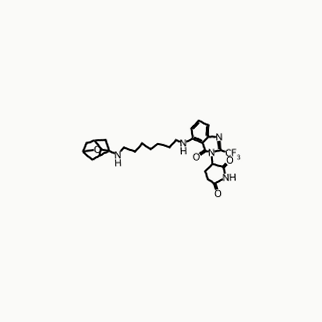 O=C1CCC(n2c(C(F)(F)F)nc3cccc(NCCCCCCCNC45CC6CC(CC4C6)C5)c3c2=O)C(=O)N1